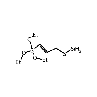 CCO[Si](C=CCS[SiH3])(OCC)OCC